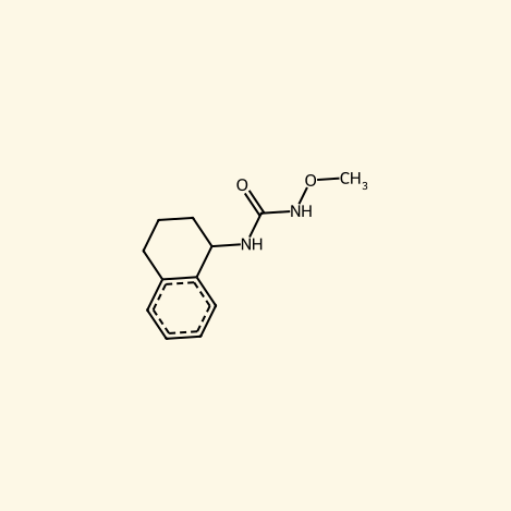 CONC(=O)NC1CCCc2ccccc21